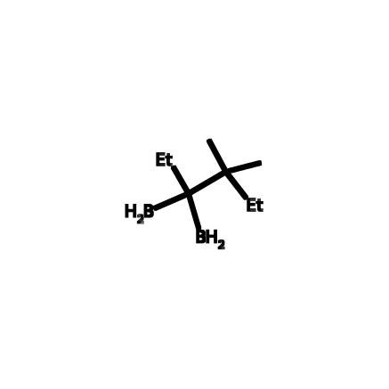 BC(B)(CC)C(C)(C)CC